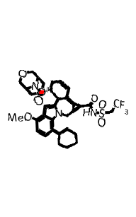 COc1ccc(C2CCCCC2)c2c1cc1n2CC2=C(C(=O)NS(=O)(=O)CC(F)(F)F)C2=C2C=CC[C@@H](C(=O)N3C4COCC3COC4)C21